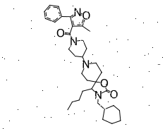 CCCCC1N(CC2CCCCC2)C(=O)OC12CCN(C1CCN(C(=O)c3c(-c4ccccc4)noc3C)CC1)CC2